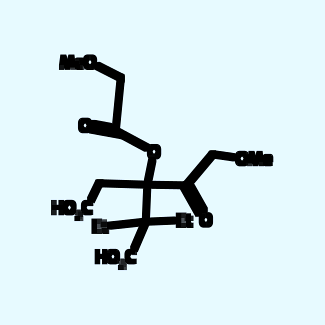 CCC(CC)(C(=O)O)C(CC(=O)O)(OC(=O)COC)C(=O)COC